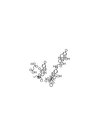 CC(=O)OCC(=O)[C@@]12OC3(CCCC3)O[C@@H]1C[C@H]1[C@@H]3CCC4=CC(=O)C=C[C@]4(C)[C@@]3(F)[C@@H](O)C[C@@]12C.CCCC(=O)O[C@]1(C(=O)CCl)[C@@H](C)C[C@H]2[C@@H]3CCC4=CC(=O)C=C[C@]4(C)[C@@]3(F)C(=O)C[C@@]21C.C[C@]12C=CC(=O)C=C1CC[C@@H]1[C@@H]2[C@@H](O)C[C@@]2(C)[C@H]1CC[C@]2(O)C(=O)CO.O=C(O)CCC(=O)O